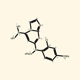 CCCCCN(c1cc(N(CCC)CCC)n2ccnc2n1)c1ccc(OC)cc1Cl